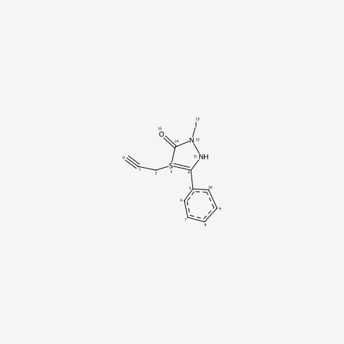 C#CCS1=C(c2ccccc2)NN(I)C1=O